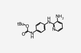 CC(C)(C)OC(=O)Nc1ccc(Nc2ncccc2N)cc1